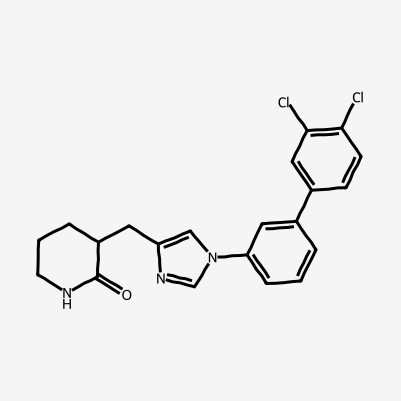 O=C1NCCCC1Cc1cn(-c2cccc(-c3ccc(Cl)c(Cl)c3)c2)cn1